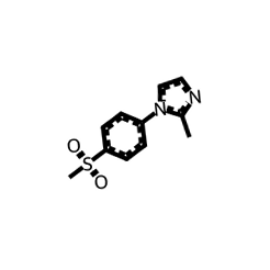 Cc1nccn1-c1ccc(S(C)(=O)=O)cc1